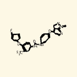 Cn1ncc2c(Oc3ccc(NC(=O)Nc4ccc(Oc5ccc(F)cc5)c(C(F)(F)F)c4)cc3)ccnc21